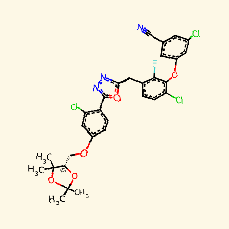 CC1(C)O[C@@H](COc2ccc(-c3nnc(Cc4ccc(Cl)c(Oc5cc(Cl)cc(C#N)c5)c4F)o3)c(Cl)c2)C(C)(C)O1